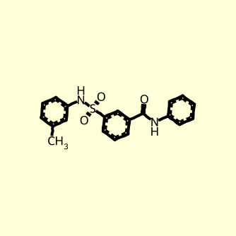 Cc1cccc(NS(=O)(=O)c2cccc(C(=O)Nc3ccccc3)c2)c1